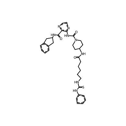 O=C(CCCCCNC(=S)Nc1ccccc1)NC1CCN(C(=O)Nc2nccnc2C(=O)NC2Cc3ccccc3C2)CC1